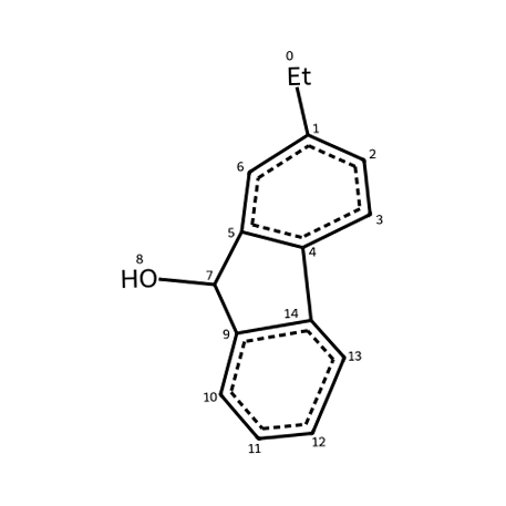 CCc1ccc2c(c1)C(O)c1ccccc1-2